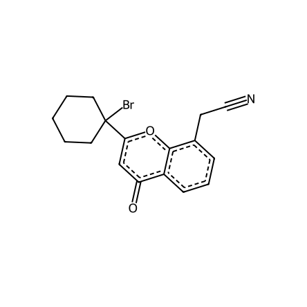 N#CCc1cccc2c(=O)cc(C3(Br)CCCCC3)oc12